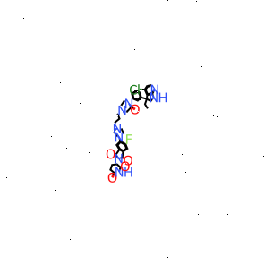 CCC1(c2cccc(N3CCN(CCCN4CCN(c5cc6c(cc5F)C(=O)N(C5CCC(=O)NC5=O)C6=O)CC4)CC3=O)c2)CNc2nccc(Cl)c21